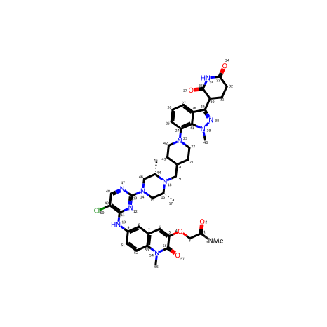 CNC(=O)COc1cc2cc(Nc3nc(N4C[C@@H](C)N(CC5CCN(c6cccc7c(C8CCC(=O)NC8=O)nn(C)c67)CC5)[C@@H](C)C4)ncc3Cl)ccc2n(C)c1=O